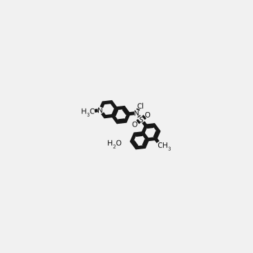 Cc1ccc(S(=O)(=O)N(Cl)c2ccc3c(c2)CCN(C)C3)c2ccccc12.O